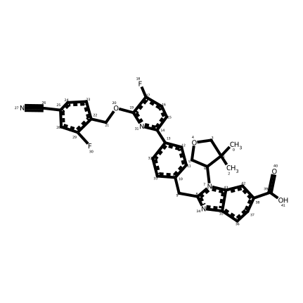 CC1(C)COCC1n1c(Cc2ccc(-c3ccc(F)c(OCc4ccc(C#N)cc4F)n3)cc2)nc2ccc(C(=O)O)cc21